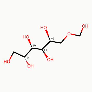 OCOC[C@H](O)[C@@H](O)[C@H](O)[C@H](O)CO